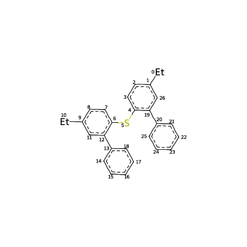 CCc1ccc(Sc2ccc(CC)cc2-c2ccccc2)c(-c2ccccc2)c1